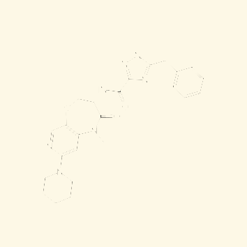 CN1C(=O)[C@@H](NC(=O)c2n[nH]c(Cc3ccccc3)n2)CSc2cnc(N3CCCCC3)cc21